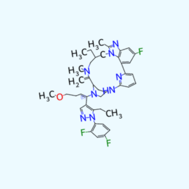 C=C1C2CC(CN2/C(=C/CCOC)c2cnn(-c3ccc(F)cc3F)c2CC)Nc2cccc(n2)-c2cc(F)cc3nc(C)n(c23)CC(CC)CN1C